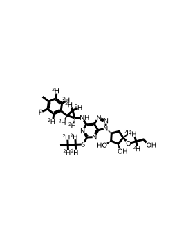 [2H]c1c([2H])c([C@]2([2H])C([2H])([2H])[C@@]2([2H])Nc2nc(SC([2H])([2H])C([2H])([2H])C)nc3c2nnn3[C@@H]2C[C@]([2H])(OC([2H])([2H])CO)[C@@H](O)[C@H]2O)c([2H])c(F)c1C